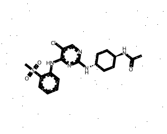 CC(=O)N[C@H]1CC[C@H](Nc2ncc(Cl)c(Nc3ccccc3S(C)(=O)=O)n2)CC1